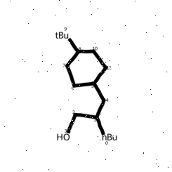 CCCCC(CO)CC1CCC(C(C)(C)C)CC1